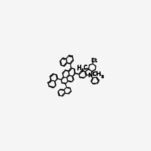 CCC1CCC2(C)N(c3ccccc3)c3ccc(-c4cc(-c5cccc6ccccc56)c5ccc6c(-c7cccc8ccccc78)cc(-c7cccc8ccccc78)c7ccc4c5c76)cc3C2(C)C1